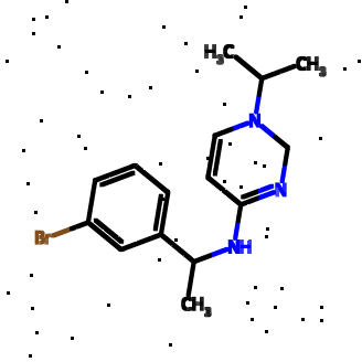 CC(NC1=NCN(C(C)C)C=C1)c1cccc(Br)c1